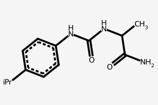 CC(NC(=O)Nc1ccc(C(C)C)cc1)C(N)=O